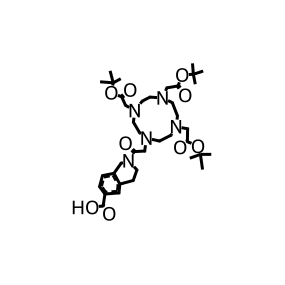 CC(C)(C)OC(=O)CN1CCN(CC(=O)OC(C)(C)C)CCN(CC(=O)N2CCc3cc(C(=O)O)ccc3C2)CCN(CC(=O)OC(C)(C)C)CC1